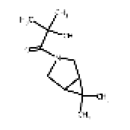 CC(C)(C)C(=O)N1CC2C(C1)C2(C)C